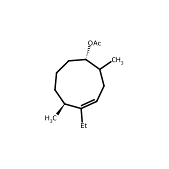 CC/C1=C/CC(C)[C@@H](OC(C)=O)CCC[C@@H]1C